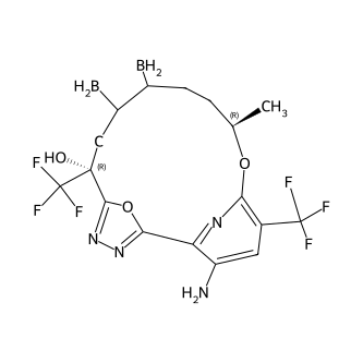 BC1CC[C@@H](C)Oc2nc(c(N)cc2C(F)(F)F)-c2nnc(o2)[C@@](O)(C(F)(F)F)CC1B